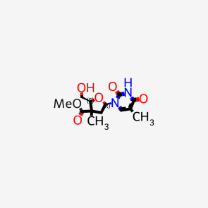 COC(=O)C1(C)C[C@H](n2cc(C)c(=O)[nH]c2=O)O[C@@H]1CO